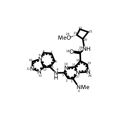 CNc1cc(Nc2cccn3cnnc23)nc2c(C(=O)NC3CC[C@H]3OC)cnn12